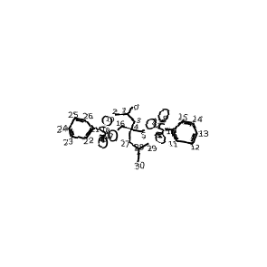 CC(C)CC(COS(=O)(=O)c1ccccc1)(COS(=O)(=O)c1ccccc1)CC(C)C